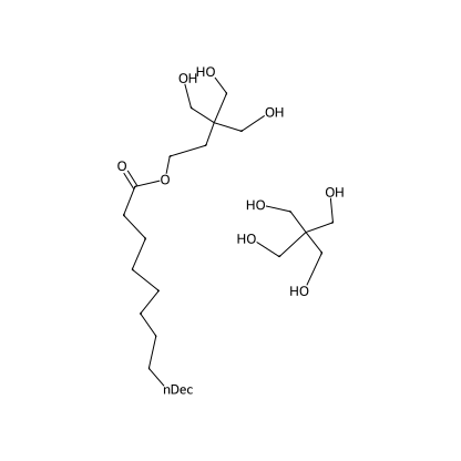 CCCCCCCCCCCCCCCCCC(=O)OCCC(CO)(CO)CO.OCC(CO)(CO)CO